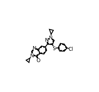 O=c1c2ccc(-c3nn(C4CC4)cc3Sc3ccc(Cl)cc3)cc2ncn1C1CC1